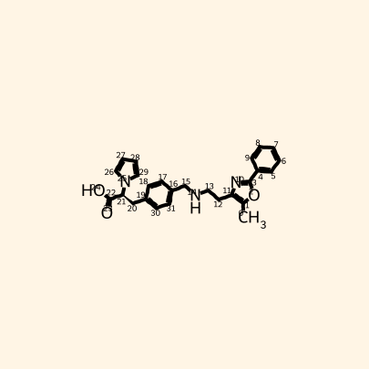 Cc1oc(-c2ccccc2)nc1CCNCc1ccc(C[C@@H](C(=O)O)n2cccc2)cc1